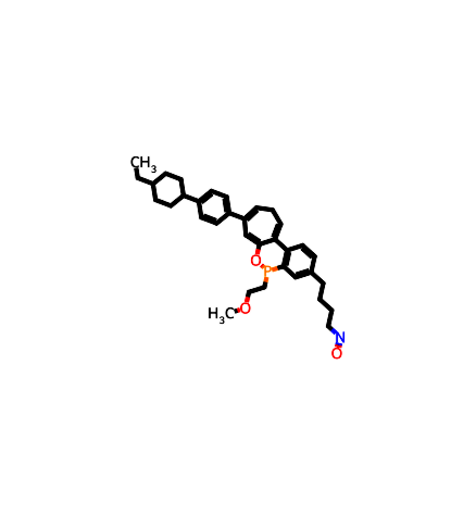 CCC1CCC(c2ccc(C3=CCC=C4C(=C3)OP(CCOC)c3cc(CCCCN=O)ccc34)cc2)CC1